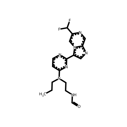 CCCN(CCNC=O)c1ccnc(-c2cnc3cnc(C(F)F)cn23)n1